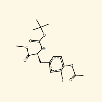 COC(=O)[C@H](Cc1ccc(OC(C)=O)c(I)c1)NC(=O)OC(C)(C)C